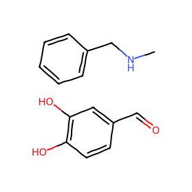 CNCc1ccccc1.O=Cc1ccc(O)c(O)c1